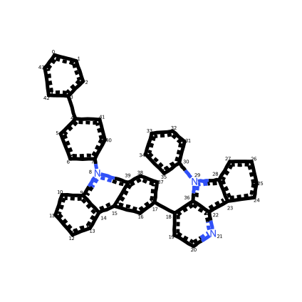 c1ccc(-c2ccc(-n3c4ccccc4c4cc(-c5ccnc6c7ccccc7n(-c7ccccc7)c56)ccc43)cc2)cc1